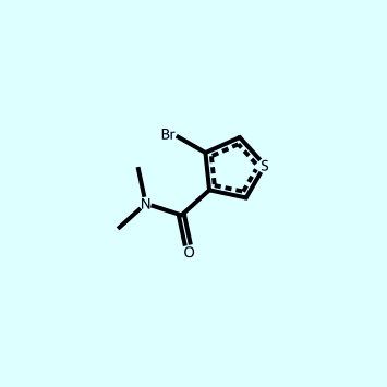 CN(C)C(=O)c1cscc1Br